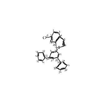 Clc1ccc2ccn(-c3cc(-c4ccccc4)cc(-c4ccccc4)c3)c2n1